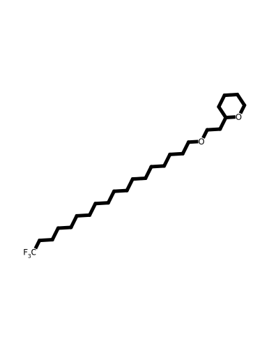 FC(F)(F)CCCCCCCCCCCCCCCCCOCCC1CCCCO1